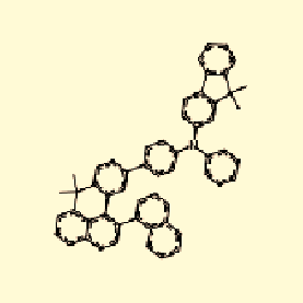 CC1(C)c2ccccc2-c2ccc(N(c3ccccc3)c3ccc(-c4ccc5c(c4)-c4c(-c6cccc7ccccc67)ccc6cccc(c46)C5(C)C)cc3)cc21